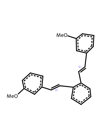 COc1cccc(/C=C/c2ccccc2/C=C/c2cccc(OC)c2)c1